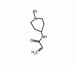 C=CC(=O)NC1CCN(C(C)C)CC1